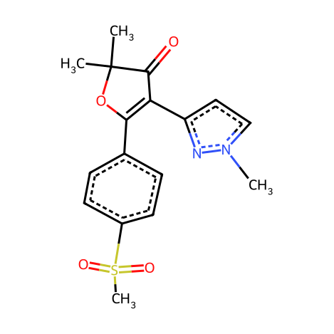 Cn1ccc(C2=C(c3ccc(S(C)(=O)=O)cc3)OC(C)(C)C2=O)n1